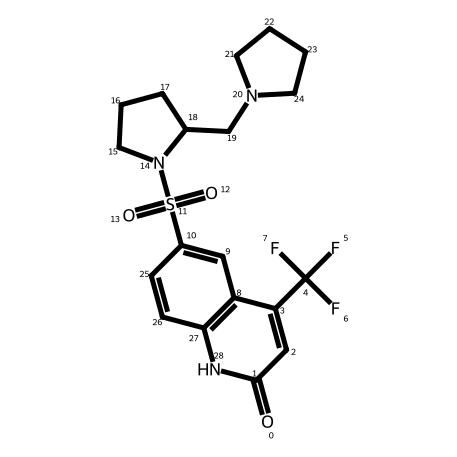 O=c1cc(C(F)(F)F)c2cc(S(=O)(=O)N3CCCC3CN3CCCC3)ccc2[nH]1